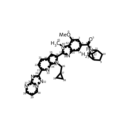 COc1cc(C(=O)N2CC3CCC2[C@@H]3N)cc2nc(-c3cc4ccc(-c5nc6ncccn6n5)nc4n3CC3CC3)n(C)c12